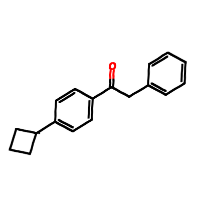 O=C(Cc1ccccc1)c1ccc([C]2CCC2)cc1